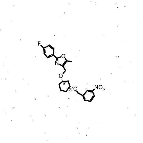 Cc1oc(-c2ccc(F)cc2)nc1CO[C@H]1CCC[C@@H](OCc2cccc([N+](=O)[O-])c2)C1